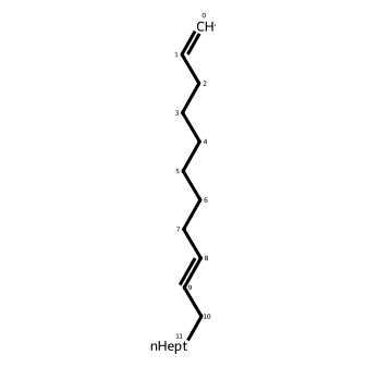 [CH]=CCCCCCC/C=C/CCCCCCCC